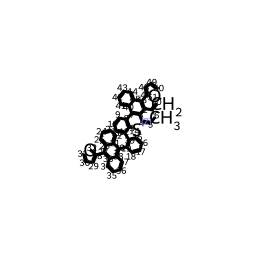 C=Cc1c(/C=C\C)c(-c2cccc3c2sc2cccc(-c4c5ccccc5c(-c5ccco5)c5ccccc45)c23)c2ccccc2c1-c1ccco1